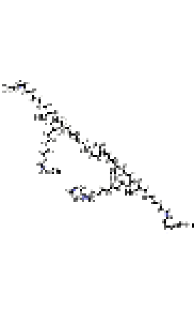 CCCCC/C=C\C/C=C\CCCCCCC(O)CN(CCCC(=O)OCCN1CCN(CCSSCCCCN(CC(O)CCCCCC/C=C\CCCCCCCC)CC(O)CCCCCC/C=C\CCCCCCCC)CC1)CC(O)CCCCCC/C=C\C/C=C\CCCCC